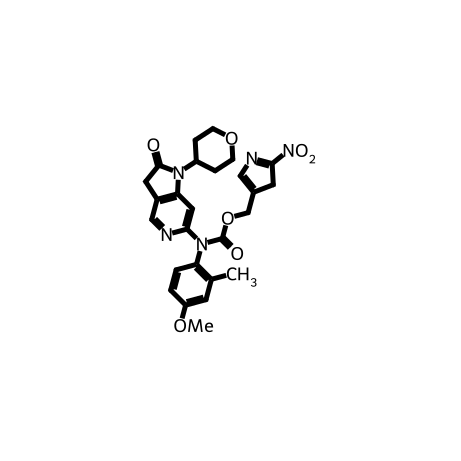 COc1ccc(N(C(=O)OCC2=CN=C([N+](=O)[O-])C2)c2cc3c(cn2)CC(=O)N3C2CCOCC2)c(C)c1